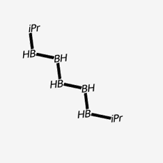 CC(C)BBBBBC(C)C